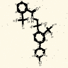 O=C(NCC(F)(F)c1ccc(-c2cnc(Cl)nc2)cc1C(F)(F)F)c1ccccc1C(F)(F)F